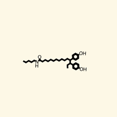 CCCCCNC(=O)CCCCCCCCCCC(c1ccc(O)cc1)C(CC)c1ccc(O)cc1